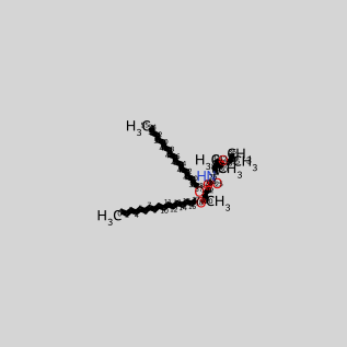 CCCCCCCCCCCCCCCCCCOC(C)C(COC(=O)NCCC(C)(C)OCC(C)C)OCCCCCCCCCCCCCCCCCC